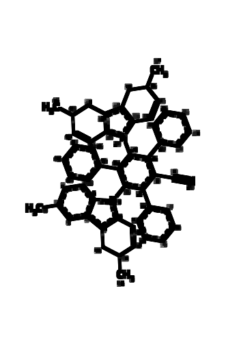 Cc1ccc2c(c1)c1c(n2-c2c(-c3ccccc3)c(C#N)c(-c3ccccc3)c(-n3c4c(c5c3C=CC(C)C5)CC(C)C=C4)c2-c2ccccc2)C=CC(C)C1